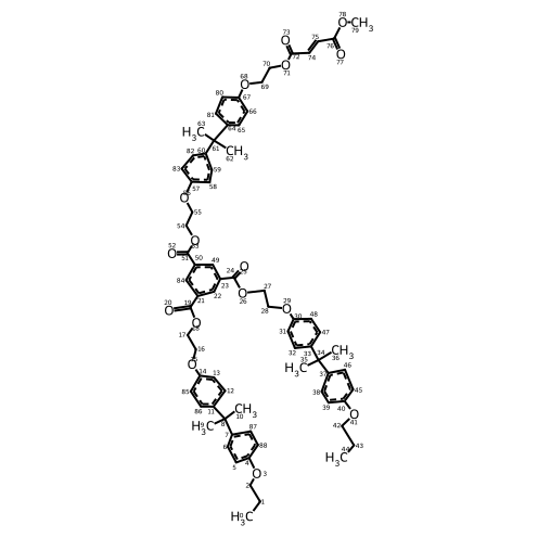 CCCOc1ccc(C(C)(C)c2ccc(OCCOC(=O)c3cc(C(=O)OCCOc4ccc(C(C)(C)c5ccc(OCCC)cc5)cc4)cc(C(=O)OCCOc4ccc(C(C)(C)c5ccc(OCCOC(=O)/C=C/C(=O)OC)cc5)cc4)c3)cc2)cc1